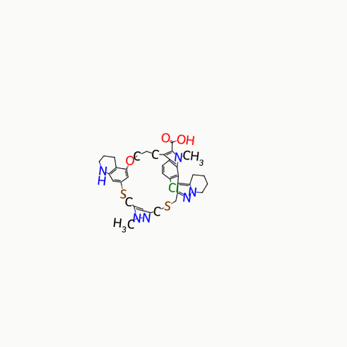 Cn1nc2cc1CSc1cc3c(c(c1)OCCCc1c(C(=O)O)n(C)c4c(c(Cl)ccc14)-c1c(nn4c1CCCC4)CSC2)CCCN3